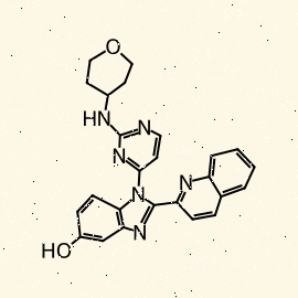 Oc1ccc2c(c1)nc(-c1ccc3ccccc3n1)n2-c1ccnc(NC2CCOCC2)n1